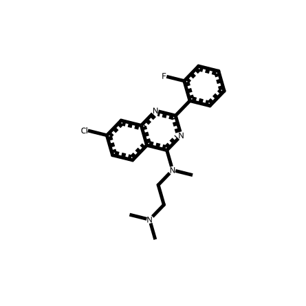 CN(C)CCN(C)c1nc(-c2ccccc2F)nc2cc(Cl)ccc12